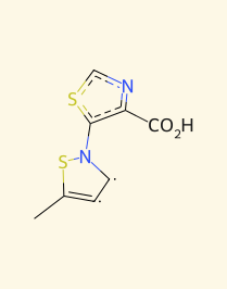 CC1=[C][CH]N(c2scnc2C(=O)O)S1